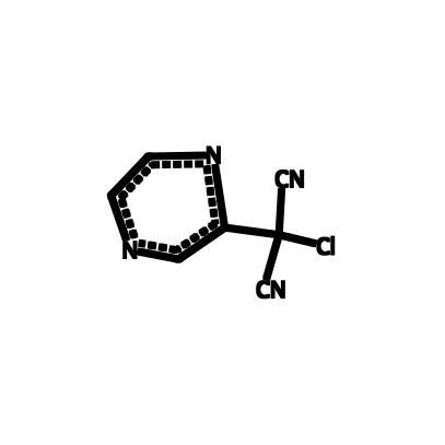 N#CC(Cl)(C#N)c1cnccn1